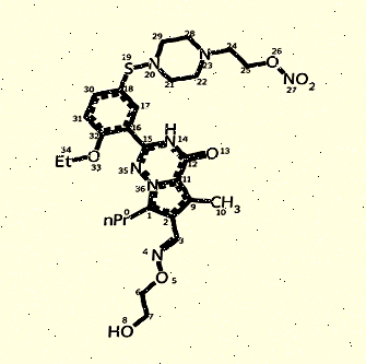 CCCc1c(/C=N/OCCO)c(C)c2c(=O)[nH]c(-c3cc(SN4CCN(CCO[N+](=O)[O-])CC4)ccc3OCC)nn12